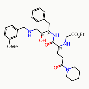 CCOC(=O)CN[C@@H](CCC(=O)N1CCCCC1)C(=O)N[C@@H](Cc1ccccc1)[C@@H](O)CNCc1cccc(OC)c1